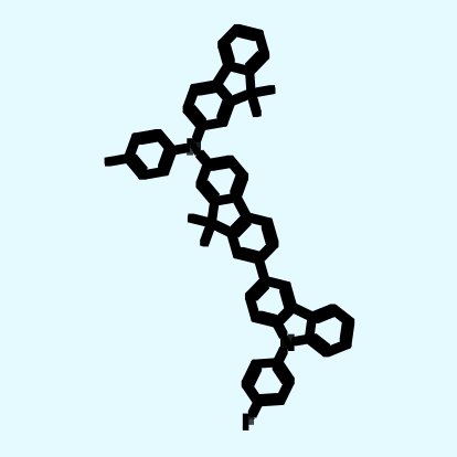 Cc1ccc(N(c2ccc3c(c2)C(C)(C)c2ccccc2-3)c2ccc3c(c2)C(C)(C)c2cc(-c4ccc5c(c4)c4ccccc4n5-c4ccc(F)cc4)ccc2-3)cc1